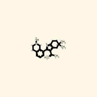 C=C(C)c1c(-c2cccc3c2CN(S)CC3)sc2c1CC(C)(C)CC2